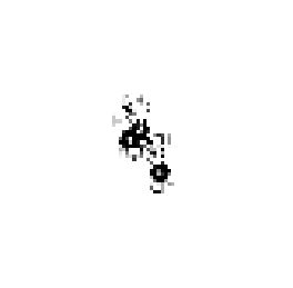 C[C@@H](c1cnc(NCCN)c2ccccc12)N(C)C(=O)Nc1ccc(F)c(Cl)c1